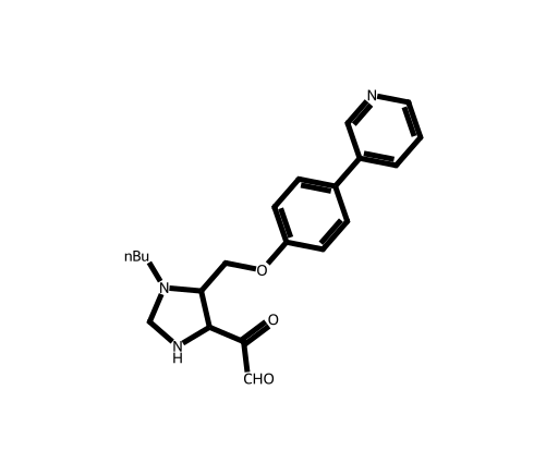 CCCCN1CNC(C(=O)C=O)C1COc1ccc(-c2cccnc2)cc1